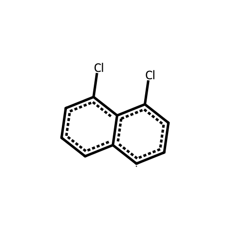 Clc1cc[c]c2cccc(Cl)c12